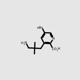 CCCCc1cnc(C(=O)O)c(CC(C)(C)CN)c1